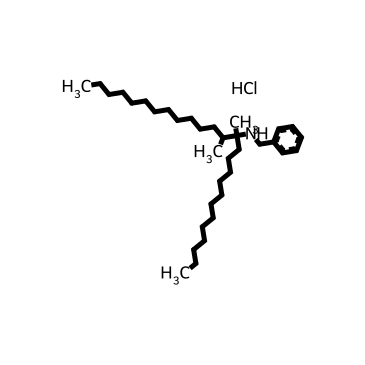 CCCCCCCCCCCCC(C)C(C)(CCCCCCCCCCCC)NCc1ccccc1.Cl